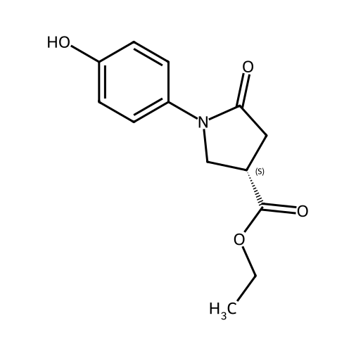 CCOC(=O)[C@H]1CC(=O)N(c2ccc(O)cc2)C1